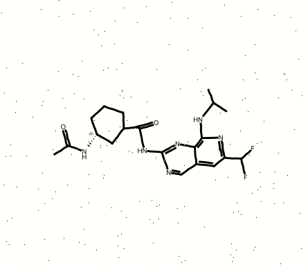 CC(=O)N[C@@H]1CCCC(C(=O)Nc2ncc3cc(C(F)F)nc(NC(C)C)c3n2)C1